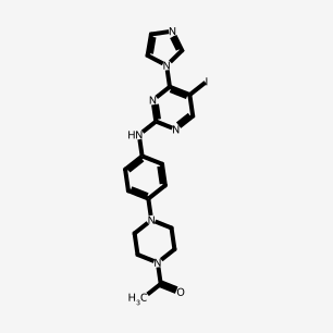 CC(=O)N1CCN(c2ccc(Nc3ncc(I)c(-n4ccnc4)n3)cc2)CC1